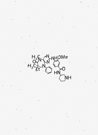 CC[C@]1(C)CN(c2ccccc2)c2nc(Nc3ccc(C(=O)N[C@@H]4CCCNC4)cc3OC)ncc2N(C)C1=O